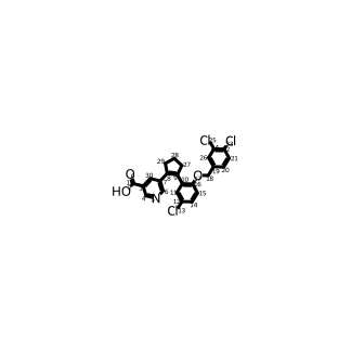 O=C(O)c1cncc(C2=C(c3cc(Cl)ccc3OCc3ccc(Cl)c(Cl)c3)CCC2)c1